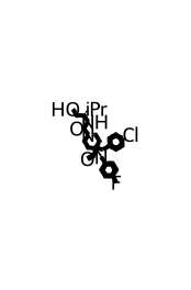 CC(C)[C@@H](CO)NC(=O)N1CCC2(CC1)C(=O)N(c1ccc(F)cc1)C2c1ccc(Cl)cc1